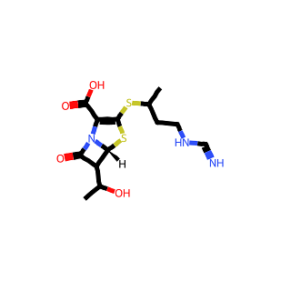 CC(CCNC=N)SC1=C(C(=O)O)N2C(=O)C(C(C)O)[C@H]2S1